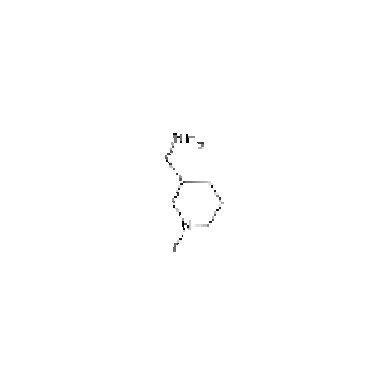 NCC1CCCN(I)C1